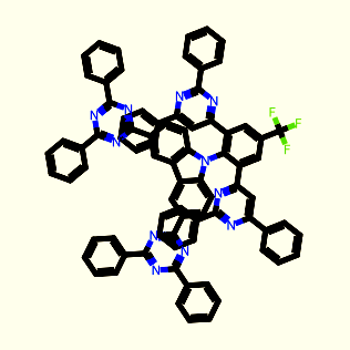 FC(F)(F)c1cc(-c2cc(-c3ccccc3)nc(-c3ccccc3)n2)c(-n2c3ccc(-c4nc(-c5ccccc5)nc(-c5ccccc5)n4)cc3c3cc(-c4nc(-c5ccccc5)nc(-c5ccccc5)n4)ccc32)c(-c2cc(-c3ccccc3)nc(-c3ccccc3)n2)c1